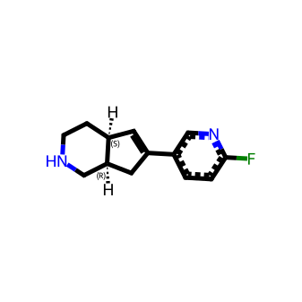 Fc1ccc(C2=C[C@@H]3CCNC[C@@H]3C2)cn1